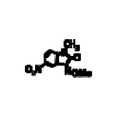 CO/N=C1\C(=O)N(C)c2ccc([N+](=O)[O-])cc21